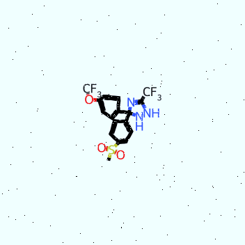 CS(=O)(=O)c1ccc(C2(c3ccc(OC(F)(F)F)cc3)N=C(C(F)(F)F)NN2)cc1